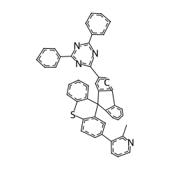 Cc1ncccc1-c1ccc2c(c1)C1(c3ccccc3S2)c2ccccc2-c2ccc(-c3nc(-c4ccccc4)nc(-c4ccccc4)n3)cc21